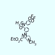 CCOC(=O)c1nn(-c2cccc(C(=O)N(C)c3ccc4c(c3)OC(F)(F)O4)c2)c2c1CN(C)CC2